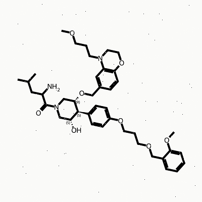 COCCCN1CCOc2ccc(CO[C@H]3CN(C(=O)C(N)CC(C)C)C[C@@H](O)[C@@H]3c3ccc(OCCCOCc4ccccc4OC)cc3)cc21